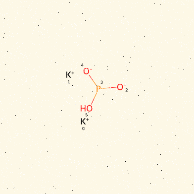 [K+].[K+].[O-]P([O-])O